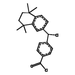 CC1(C)CCC(C)(C)c2cc(C(Cl)c3ccc(C(=O)Cl)cc3)ccc21